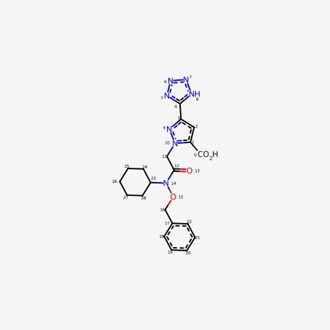 O=C(O)c1cc(-c2nnn[nH]2)nn1CC(=O)N(OCc1ccccc1)C1CCCCC1